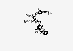 CCOC(=O)c1nc(N(C)c2cc(C)c(Nc3nc4ccccc4s3)nn2)sc1CC(COc1ccc(C#CCN(C)C)cc1F)OC